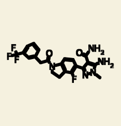 Cn1nc(-c2ccc3c(c2F)CCN3C(=O)Cc2cccc(C(F)(F)F)c2)c(C(N)=O)c1N